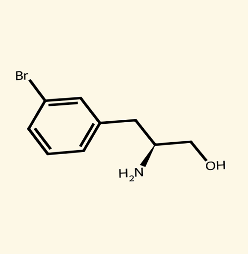 N[C@H](CO)Cc1cccc(Br)c1